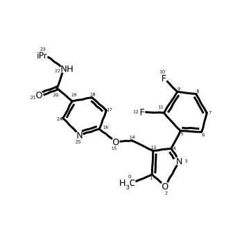 Cc1onc(-c2cccc(F)c2F)c1COc1ccc(C(=O)NC(C)C)cn1